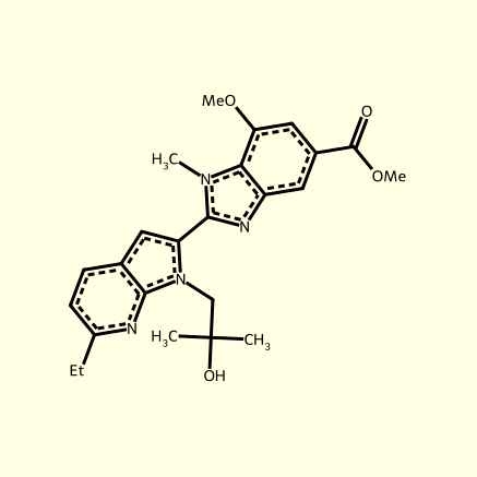 CCc1ccc2cc(-c3nc4cc(C(=O)OC)cc(OC)c4n3C)n(CC(C)(C)O)c2n1